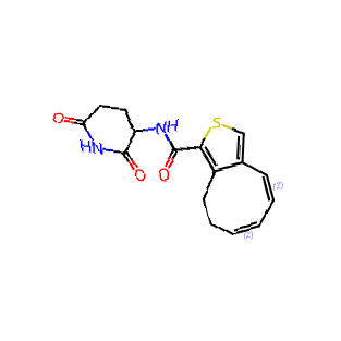 O=C1CCC(NC(=O)c2scc3c2CC/C=C\C=C/3)C(=O)N1